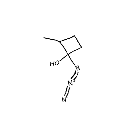 CC1CCC1(O)N=[N+]=[N-]